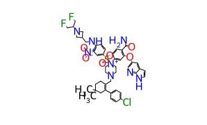 CC1(C)CCC(CN2CC[N+](c3ccc(C(N)=O)c(Oc4cnc5[nH]ccc5c4)c3)(S(=O)(=O)c3ccc(NCC4CN(C(CF)CF)C4)c([N+](=O)[O-])c3)CC2)=C(c2ccc(Cl)cc2)C1